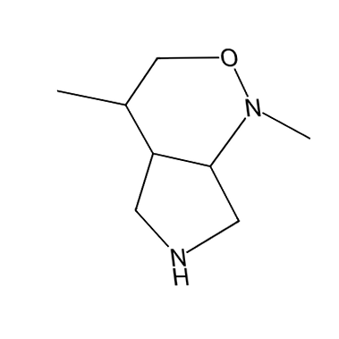 CC1CON(C)C2CNCC12